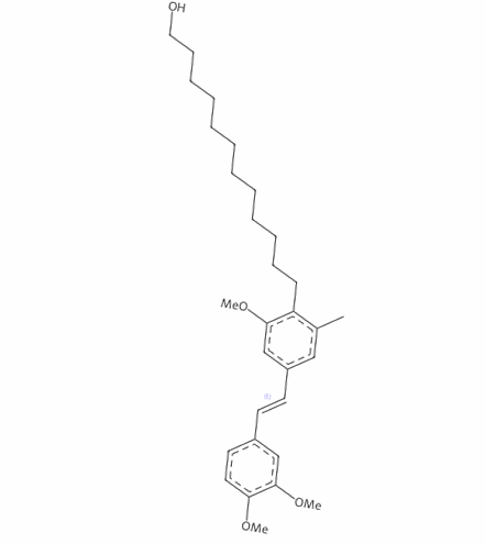 COc1ccc(/C=C/c2cc(C)c(CCCCCCCCCCCCO)c(OC)c2)cc1OC